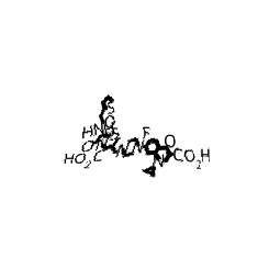 O=C(Cc1cccs1)NC1C(=O)N2C(C(=O)O)=C(CN3CCN(c4cc5c(cc4F)c(=O)c(C(=O)O)cn5C4CC4)CC3)CS[C@H]12